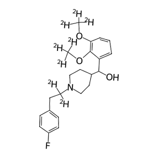 [2H]C([2H])([2H])Oc1cccc(C(O)C2CCN(C([2H])([2H])Cc3ccc(F)cc3)CC2)c1OC([2H])([2H])[2H]